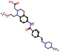 COCCC1c2ccc(NC(=O)c3ccc(C=NN4CCN(C)CC4)cc3)cc2CCN1CC(=O)O